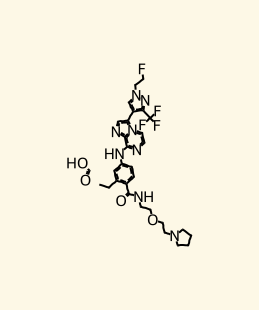 CCc1cc(Nc2nccn3c(-c4cn(CCF)nc4C(F)(F)F)cnc23)ccc1C(=O)NCCOCCN1CCCC1.O=CO